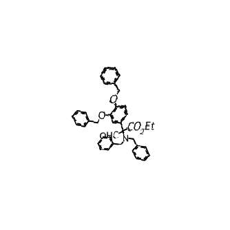 CCOC(=O)C(C=O)(c1ccc(OCc2ccccc2)c(OCc2ccccc2)c1)N(Cc1ccccc1)Cc1ccccc1